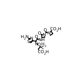 CC(CC(=O)O)O/N=C(\C(=O)N[C@H]1CN(C(=O)N2CCC2C(=O)O)C1=O)c1csc(N)n1